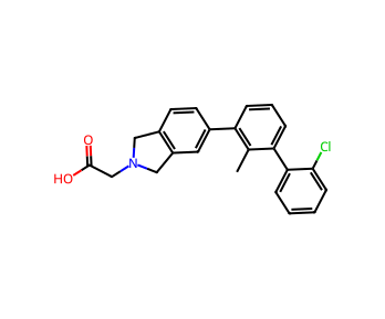 Cc1c(-c2ccc3c(c2)CN(CC(=O)O)C3)cccc1-c1ccccc1Cl